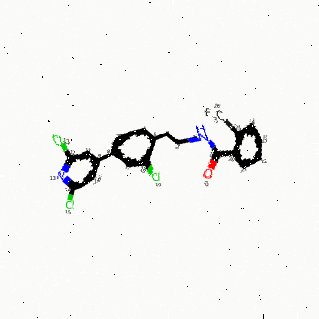 O=C(NCCc1ccc(-c2cc(Cl)nc(Cl)c2)cc1Cl)c1ccccc1C(F)(F)F